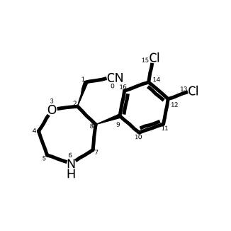 N#CC[C@@H]1OCCNC[C@@H]1c1ccc(Cl)c(Cl)c1